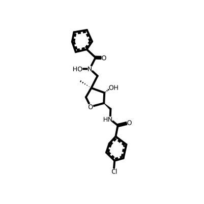 C[C@@]1(CN(O)C(=O)c2ccccc2)CO[C@H](CNC(=O)c2ccc(Cl)cc2)[C@H]1O